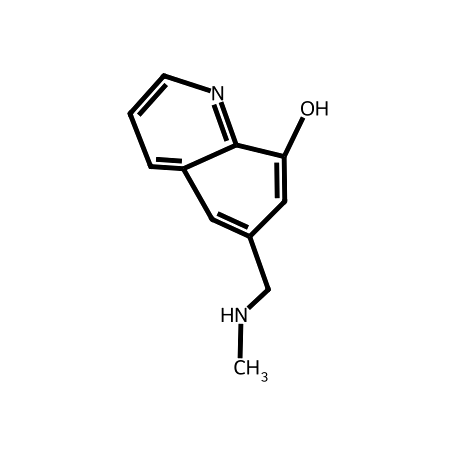 CNCc1cc(O)c2ncccc2c1